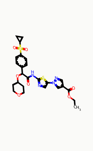 CCOC(=O)c1cnn(-c2cnc(NC(=O)C(OC3CCOCC3)c3ccc(S(=O)(=O)C4CC4)cc3)s2)c1